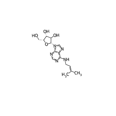 CC(C)=CCNc1ncnc2c1ncn2[C@@H]1O[C@H](CO)[C@H](O)C1O